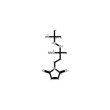 COC(C)(CCN1C(=O)C=CC1=O)OOC(C)(C)C(C)C